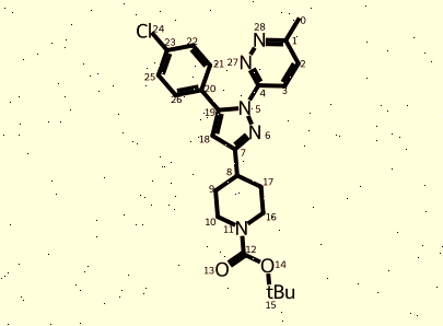 Cc1ccc(-n2nc(C3CCN(C(=O)OC(C)(C)C)CC3)cc2-c2ccc(Cl)cc2)nn1